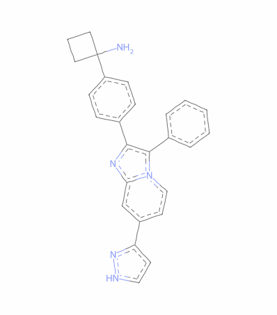 NC1(c2ccc(-c3nc4cc(-c5cc[nH]n5)ccn4c3-c3ccccc3)cc2)CCC1